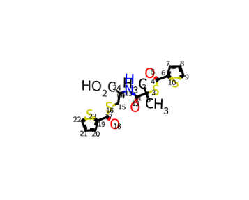 CC(C)(SC(=O)c1cccs1)C(=O)N[C@@H](CSC(=O)c1cccs1)C(=O)O